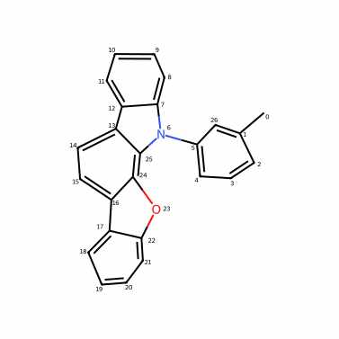 Cc1cccc(-n2c3ccccc3c3ccc4c5ccccc5oc4c32)c1